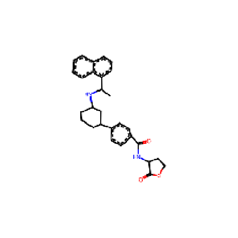 CC(NC1CCCC(c2ccc(C(=O)NC3CCOC3=O)cc2)C1)c1cccc2ccccc12